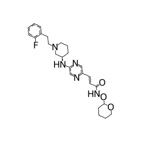 O=C(/C=C/c1cnc(N[C@@H]2CCCN(CCc3ccccc3F)C2)cn1)NOC1CCCCO1